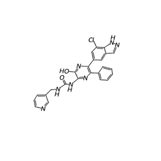 O=C(NCc1cccnc1)Nc1nc(-c2ccccc2)c(-c2cc(Cl)c3[nH]ncc3c2)nc1O